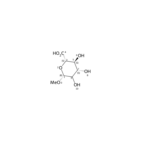 CO[C@@H]1O[C@H](C(=O)O)[C@@H](O)[C@H](O)C1O